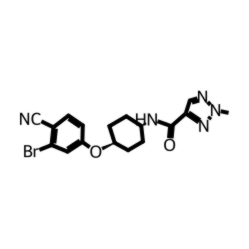 Cn1ncc(C(=O)N[C@H]2CC[C@H](Oc3ccc(C#N)c(Br)c3)CC2)n1